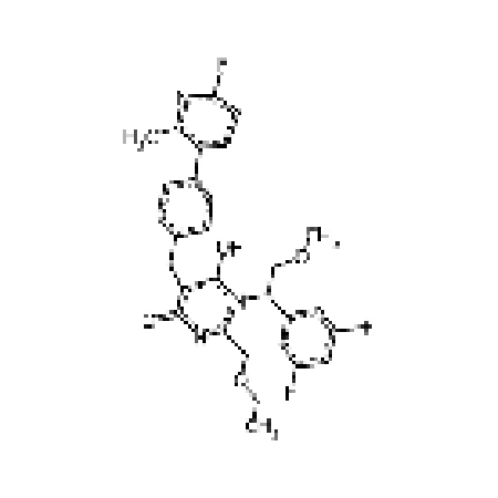 CCOCc1nc(=O)c(Cc2ccc(-c3ccc(F)nc3C)cc2)c(O)n1[C@@H](COC)c1cc(F)cc(F)c1